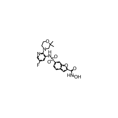 CC1(C)CN(c2ncc(F)cc2NS(=O)(=O)c2ccc3cc(C(=O)NO)oc3c2)CCO1